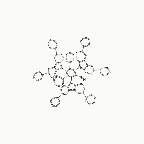 N#Cc1c(-n2c3ccc(-c4ccccc4)cc3c3cc(-c4ccccc4)ccc32)c(-c2c#cccc2)c(-n2c3c(c4cc(-c5ccccc5)ccc42)C=C(c2ccccc2)CC3)c(-c2ccccc2)c1-n1c2ccc(-c3ccccc3)cc2c2cc(-c3ccccc3)ccc21